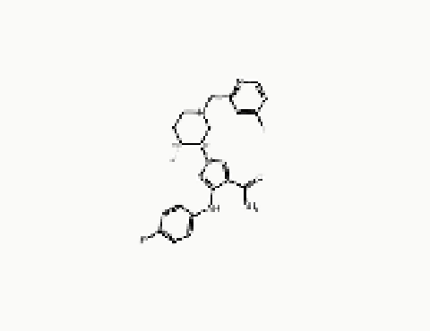 C[C@@H]1CCN(Cc2cc(F)ccn2)C[C@H]1n1cc(C(N)=O)c(Nc2ccc(F)cc2)n1